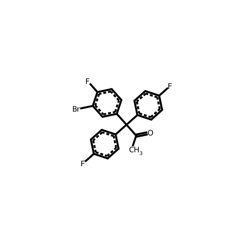 CC(=O)C(c1ccc(F)cc1)(c1ccc(F)cc1)c1ccc(F)c(Br)c1